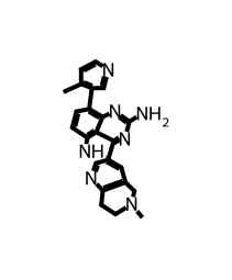 Cc1ccncc1-c1ccc(N)c2c(-c3cnc4c(c3)CN(C)CC4)nc(N)nc12